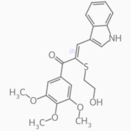 COc1cc(C(=O)/C(=C/c2c[nH]c3ccccc23)SCCO)cc(OC)c1OC